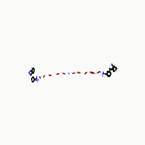 CN1Cc2c(Cl)cc(Cl)cc2[C@H](c2cccc(-c3cn(CCOCCOCCOCCOCCNC(=O)NCCOCCOCCOCCOCCn4cc(-c5cccc([C@@H]6CN(C)Cc7c(Cl)cc(Cl)cc76)c5)nn4)nn3)c2)C1.Cl